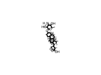 C[C@H]1O[C@H](O[C@H]2CC[C@@]3(C)[C@H](CC[C@@H]4[C@@H]3CC[C@]3(C)[C@@H]([C@H](CO)CC(=O)O)CC[C@]43O)C2)[C@@H](O)[C@H](N)[C@@H]1O